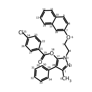 Cc1nn(CCOc2ccc3ccccc3c2)c(OC(=O)c2ccc(Cl)cc2)c1-c1ccccc1